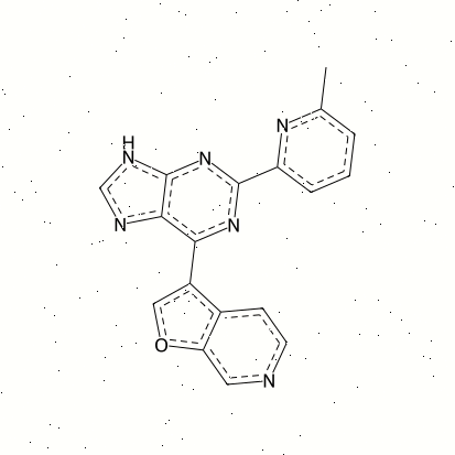 Cc1cccc(-c2nc(-c3coc4cnccc34)c3nc[nH]c3n2)n1